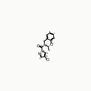 CCN(Cc1ccccc1Cl)C(=O)n1cc(Cl)cn1